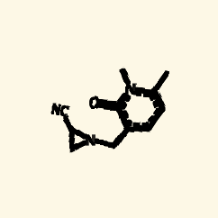 Cc1ccc(CN2CC2C#N)c(=O)n1C